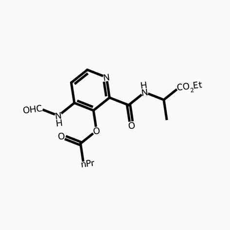 CCCC(=O)Oc1c(NC=O)ccnc1C(=O)NC(C)C(=O)OCC